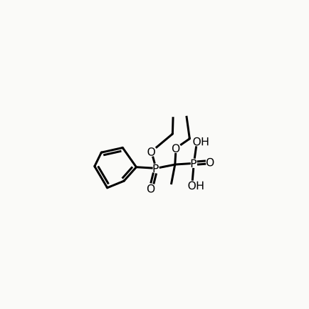 CCOC(C)(P(=O)(O)O)P(=O)(OCC)c1ccccc1